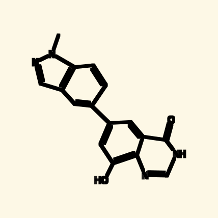 Cn1ncc2cc(-c3cc(O)c4nc[nH]c(=O)c4c3)ccc21